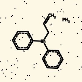 C=C[CH2][Rh]([c]1ccccc1)[c]1ccccc1.P